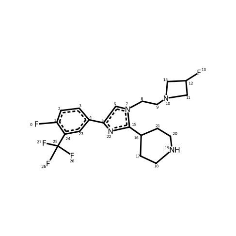 Fc1ccc(-c2cn(CCN3CC(F)C3)c(C3CCNCC3)n2)cc1C(F)(F)F